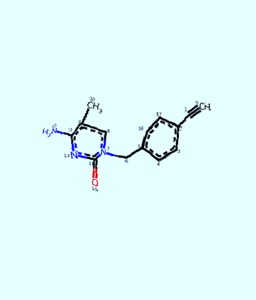 C#Cc1ccc(Cn2cc(C)c(N)nc2=O)cc1